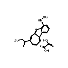 CC(C)(C)CC(=O)c1cccc2c3cccc(NC(C)(C)C)c3nc-2c1.O=C(O)C(=O)O